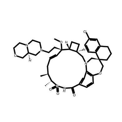 CO[C@@]1(CCN2CCN3CCOC[C@@H]3C2)/C=C/C[C@H](C)[C@@H](C)S(=O)(=O)NC(=O)c2ccc3c(c2)N(C[C@@H]2CC[C@H]21)C[C@@]1(CCCc2cc(Cl)ccc21)CO3